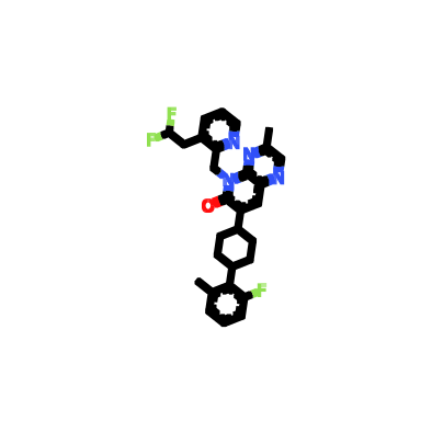 Cc1cnc2cc(C3CCC(c4c(C)cccc4F)CC3)c(=O)n(Cc3ncccc3CC(F)F)c2n1